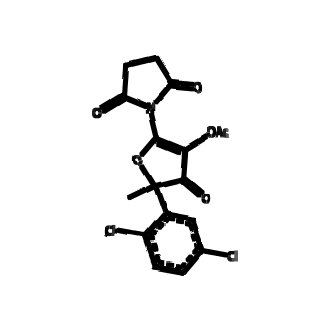 CC(=O)OC1=C(N2C(=O)CCC2=O)OC(C)(c2cc(Cl)ccc2Cl)C1=O